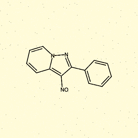 O=Nc1c(-c2ccccc2)nn2ccccc12